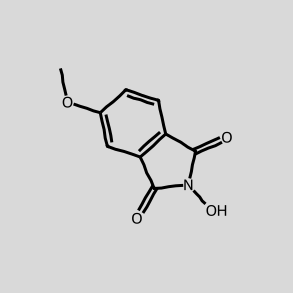 COc1ccc2c(c1)C(=O)N(O)C2=O